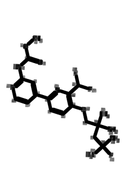 COC(=O)Nc1cc(-c2ccc(OCC(C)(N)CC(C)(C)F)c(C(F)F)n2)ccn1